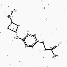 CC(C)N[C@H]1C[C@H](Oc2ccc(CCC(=O)C(C)C)cn2)C1